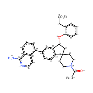 CCOC(=O)Cc1ccccc1OC1CC2(CCN(C(=O)OCC(C)C)CC2)c2ccc(-c3cccc4c(N)nccc34)cc21